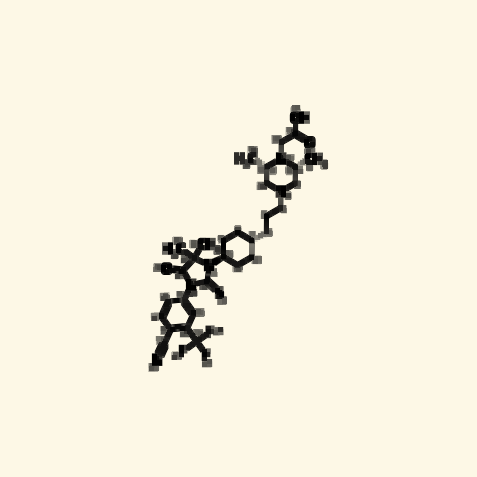 C[C@@H]1CN(CCC[C@H]2CC[C@H](N3C(=S)N(c4ccc(C#N)c(C(F)(F)F)c4)C(=O)C3(C)C)CC2)C[C@H](C)N1CC(=O)O